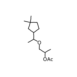 CC(=O)OC(C)COC(C)C1CCC(C)(C)C1